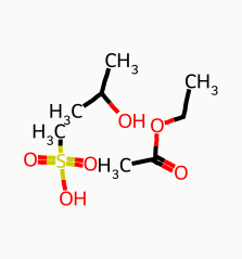 CC(C)O.CCOC(C)=O.CS(=O)(=O)O